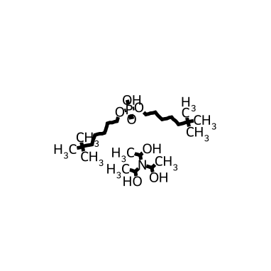 CC(C)(C)CCCCCOP(=O)(O)OCCCCCC(C)(C)C.CC(O)N(C(C)O)C(C)O